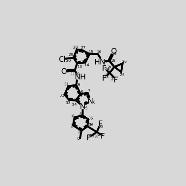 Cc1ccc(-n2ncc3c(NC(=O)c4cc(CNC(=O)C5(C(F)(F)F)CC5)ccc4Cl)cccc32)cc1C(F)(F)F